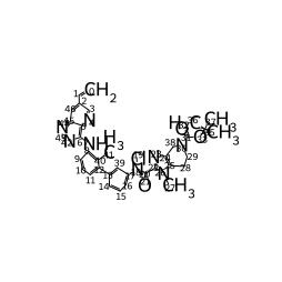 C=Cc1cnc2c(Nc3cccc(-c4cccc(N(Cl)C(=O)c5nc6c(n5C)CCN(C(=O)OC(C)(C)C)C6)c4)c3C)ncnc2c1